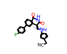 N#CCc1ccc(N/C=C2\C(=O)NC(=O)c3ccc(-c4ccc(F)cc4)cc32)cc1